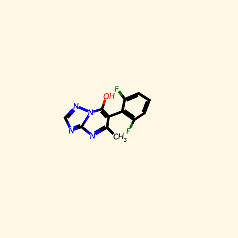 Cc1nc2ncnn2c(O)c1-c1c(F)cccc1F